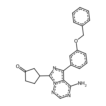 Nc1ncnn2c(C3CCC(=O)C3)nc(-c3cccc(OCc4ccccc4)c3)c12